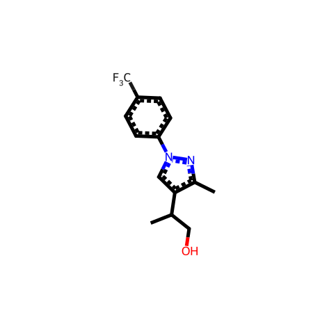 Cc1nn(-c2ccc(C(F)(F)F)cc2)cc1C(C)CO